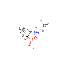 COC(=O)C12OC13C=CC(C3=O)C2NCCC(C)C